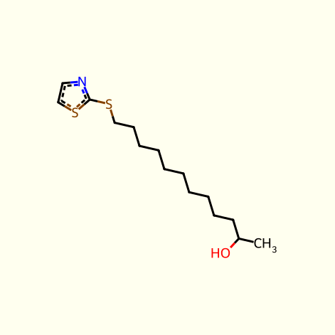 CC(O)CCCCCCCCCCSc1nccs1